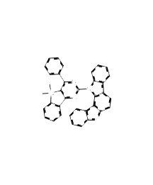 C[Si]1(C)c2ccccc2-c2nc(-n3c4ccccc4c4ccc5sc6ccccc6c5c43)nc(-c3ccccc3)c21